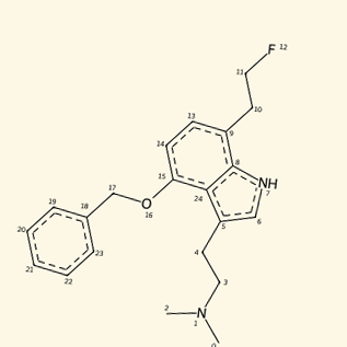 CN(C)CCc1c[nH]c2c(CCF)ccc(OCc3ccccc3)c12